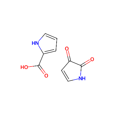 O=C(O)c1ccc[nH]1.O=C1C=CNC1=O